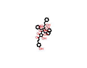 O=C(/C=C/c1ccc(O)cc1)C1C(=O)C(C(=O)[C@@](O)(Cc2ccccc2)[C@](O)(Cc2ccccc2)[C@@](O)(Cc2ccccc2)[C@H](O)C(O)Cc2ccccc2)C(O)C1O